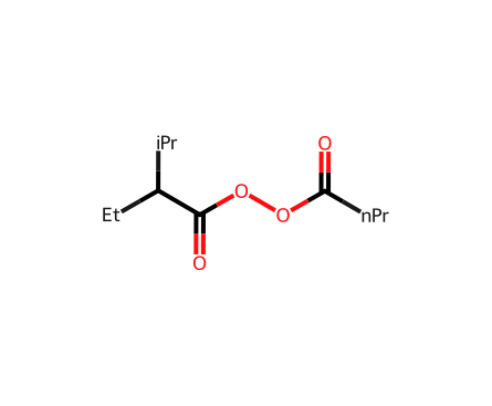 CCCC(=O)OOC(=O)C(CC)C(C)C